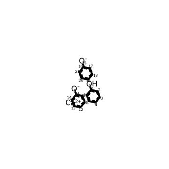 Oc1ccccc1.[Ca+2].[O-]c1ccccc1.[O-]c1ccccc1